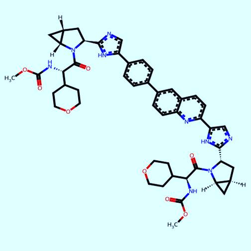 COC(=O)N[C@H](C(=O)N1[C@@H]2C[C@@H]2C[C@H]1c1ncc(-c2ccc(-c3ccc4nc(-c5cnc([C@@H]6C[C@H]7C[C@H]7N6C(=O)[C@@H](NC(=O)OC)C6CCOCC6)[nH]5)ccc4c3)cc2)[nH]1)C1CCOCC1